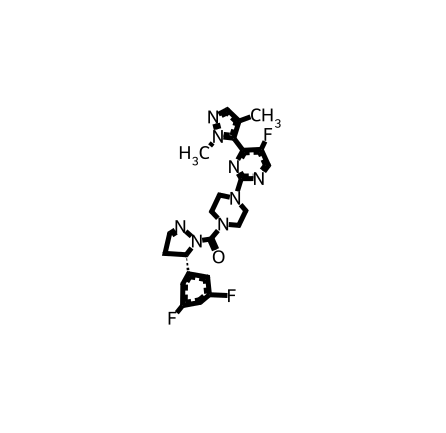 Cc1cnn(C)c1-c1nc(N2CCN(C(=O)N3N=CC[C@H]3c3cc(F)cc(F)c3)CC2)ncc1F